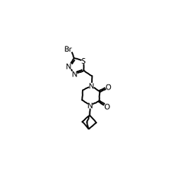 O=C1C(=O)N(C23CC(C2)C3)CCN1Cc1nnc(Br)s1